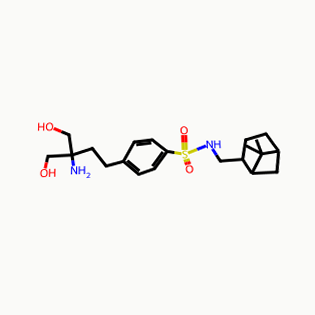 CC1(C)C2CCC(CNS(=O)(=O)c3ccc(CCC(N)(CO)CO)cc3)C1C2